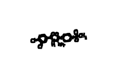 CCC[C@H](NC(=O)c1ccc(Cl)c(Cl)c1)C(=O)N1CCN(S(C)(=O)=O)CC1